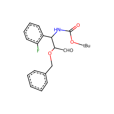 CC(C)(C)OC(=O)NC(c1ccccc1F)C(C=O)OCc1ccccc1